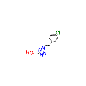 OCc1nnn(CCc2ccc(Cl)cc2)n1